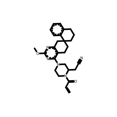 C=CC(=O)N1CCN(c2nc(OC)nc3c2CCC2(CCCc4ccccc42)C3)CC1CC#N